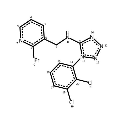 CC(C)c1ncccc1CNc1nnnn1-c1cccc(Cl)c1Cl